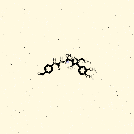 CCn1nc(/C(C)=N/NC(=S)Nc2ccc(C=O)cc2)c(O)c1-c1ccc(C)c(C)c1